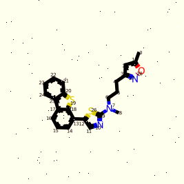 Cc1cc(CCCN(C)c2ncc(-c3cccc4c3sc3ccccc34)s2)no1